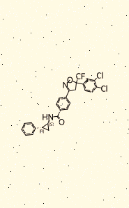 O=C(N[C@H]1C[C@@H]1c1ccccc1)c1ccc(C2=NOC(c3ccc(Cl)c(Cl)c3)(C(F)(F)F)C2)cc1